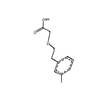 COC(=O)COCCc1cccc(C)c1